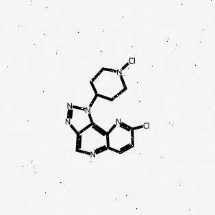 Clc1ccc2ncc3nnn(C4CCN(Cl)CC4)c3c2n1